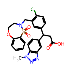 Cn1nnc2cc(C(CC(=O)O)c3ccc(Cl)c(CN4CCOc5ccccc5S4(=O)=O)c3)ccc21